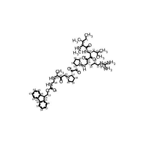 CC[C@H](C)C(NC)C(=O)N[C@@H](CC(C)C)C(=O)C(=O)[C@H](CCCNC(N)N)NN1CCC[C@H]1C(=O)C(=O)[C@@H]1CCCN1CC(=O)[C@H](C)NCNC(=O)OCC1c2ccccc2-c2ccccc21